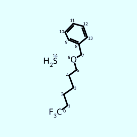 FC(F)(F)CCCCCOCc1ccccc1.S